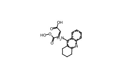 Nc1c2c(nc3ccccc13)CCCC2.O=C(O)/C=C\C(=O)OO